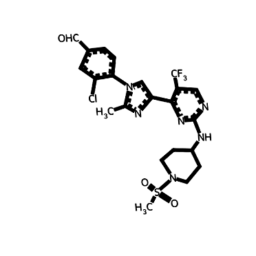 Cc1nc(-c2nc(NC3CCN(S(C)(=O)=O)CC3)ncc2C(F)(F)F)cn1-c1ccc(C=O)cc1Cl